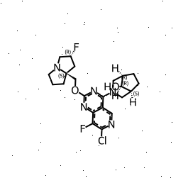 O[C@H]1[C@@H]2CC[C@H]1CN(c1nc(OC[C@@]34CCCN3C[C@H](F)C4)nc3c(F)c(Cl)ncc13)C2